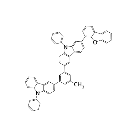 Cc1cc(-c2ccc3c(c2)c2ccccc2n3C2=CC=CCC2)cc(-c2ccc3c(c2)c2ccc(-c4cccc5c4oc4ccccc45)cc2n3-c2ccccc2)c1